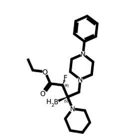 B[C@](CN1CCN(c2ccccc2)CC1)([C@@H](F)C(=O)OCC)N1CCCCC1